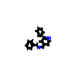 C(=N/Cc1ccccc1)/C1CCN[C@@H](c2ccccc2)C1